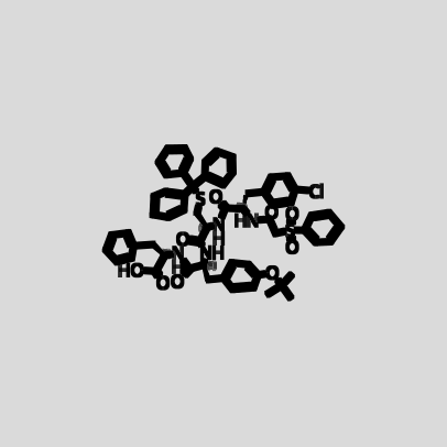 CC(C)(C)Oc1ccc(C[C@H](NC(=O)[C@@H](CSC(c2ccccc2)(c2ccccc2)c2ccccc2)NC(=O)[C@H](Cc2ccc(Cl)cc2)NC(=O)CS(=O)(=O)c2ccccc2)C(=O)N[C@H](Cc2ccccc2)C(=O)O)cc1